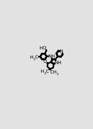 Cc1ccc(Nc2c(-c3ccncc3)[nH]c3c2C(=O)CC(C)(C)C3)c(CO)c1